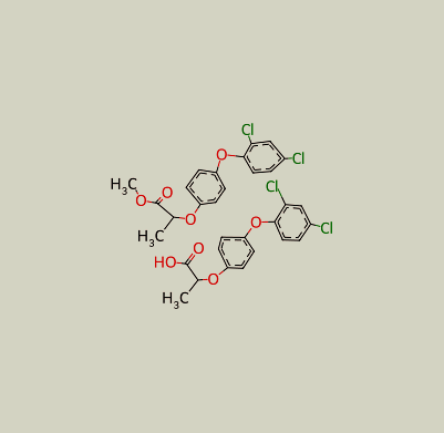 CC(Oc1ccc(Oc2ccc(Cl)cc2Cl)cc1)C(=O)O.COC(=O)C(C)Oc1ccc(Oc2ccc(Cl)cc2Cl)cc1